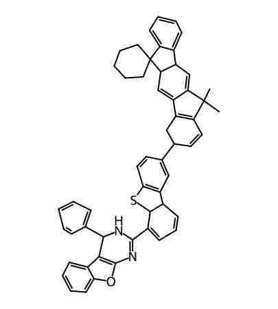 CC1(C)C2=CC3c4ccccc4C4(CCCCC4)C3C=C2C2=C1C=CC(c1ccc3c(c1)C1C=CC=C(C4=Nc5oc6ccccc6c5C(c5ccccc5)N4)C1S3)C2